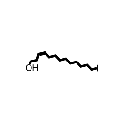 OCC/C=C\CCCCCCCCCI